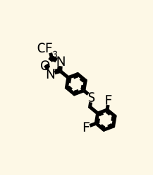 Fc1cccc(F)c1CSc1ccc(-c2noc(C(F)(F)F)n2)cc1